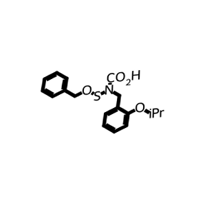 CC(C)Oc1ccccc1CN(SOCc1ccccc1)C(=O)O